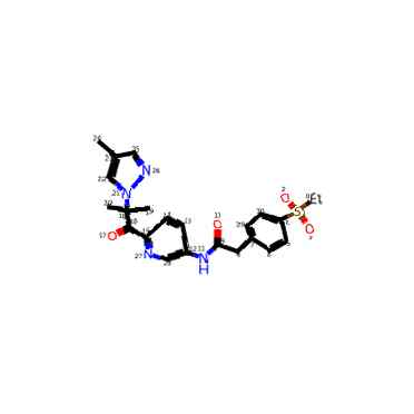 CCS(=O)(=O)c1ccc(CC(=O)Nc2ccc(C(=O)C(C)(C)n3cc(C)cn3)nc2)cc1